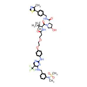 Cc1ncsc1-c1ccc(CNC(=O)[C@@H]2C[C@@H](O)CN2C(=O)[C@@H](NC(=O)CCOCCOc2ccc(Nc3ncc(C(F)(F)F)c(NCc4cccc(N(C)S(C)(=O)=O)c4)n3)cc2)C(C)(C)C)cc1